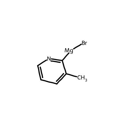 Cc1cccn[c]1[Mg][Br]